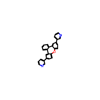 c1cncc(-c2ccc3c(c2)-c2ccccc2-c2cc(-c4cccnc4)ccc2O3)c1